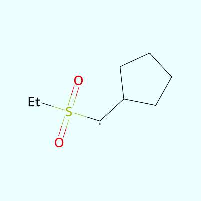 CCS(=O)(=O)[CH]C1CCCC1